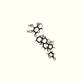 CC1OC(O[C@H]2CCC3(C)C4CCC5(C)[C@@H](C6=CC(=O)OC6)CC[C@]5(O)C4CC[C@H]3C2)[C@@H](O)[C@@H](O)C1N